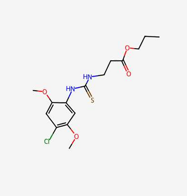 CCCOC(=O)CCNC(=S)Nc1cc(OC)c(Cl)cc1OC